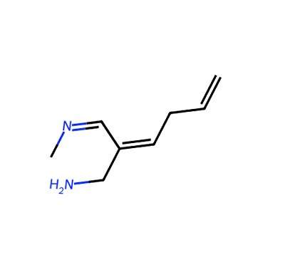 C=CC/C=C(\C=N/C)CN